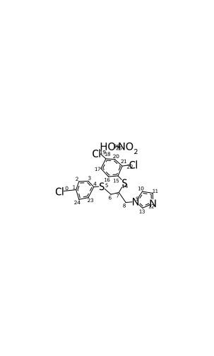 Clc1ccc(SCC(Cn2ccnc2)Sc2ccc(Cl)cc2Cl)cc1.O=[N+]([O-])O